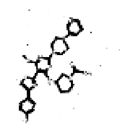 COc1nc(N2CCN(c3cccnc3)CC2)nc(N[C@@H]2CCCN(C(=O)O)C2)c1-c1nc(-c2ccc(F)cc2)cs1